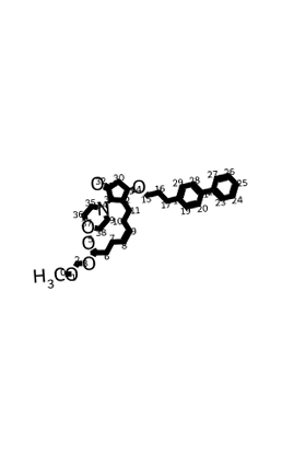 COCOC(=O)CC/C=C\CCC1[C@@H](OCCCc2ccc(-c3ccccc3)cc2)CC(=O)[C@@H]1N1CCOCC1